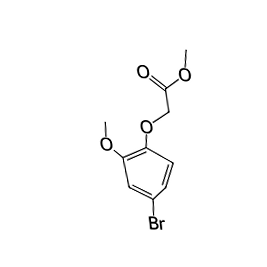 COC(=O)COc1ccc(Br)cc1OC